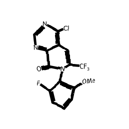 COc1cccc(F)c1-n1c(C(F)(F)F)cc2c(Cl)ncnc2c1=O